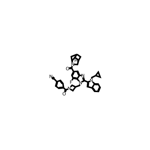 N#Cc1ccc(C(=O)N2CC(Cn3c(-c4cc5ccccc5n4CC4CC4)nc4cc(C(=O)N5CC6CC7CC5[C@H]76)cc(F)c43)C2)cc1